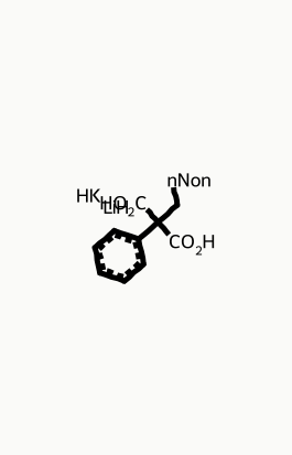 CCCCCCCCCCC(C(=O)O)(C(=O)O)c1ccccc1.[KH].[LiH]